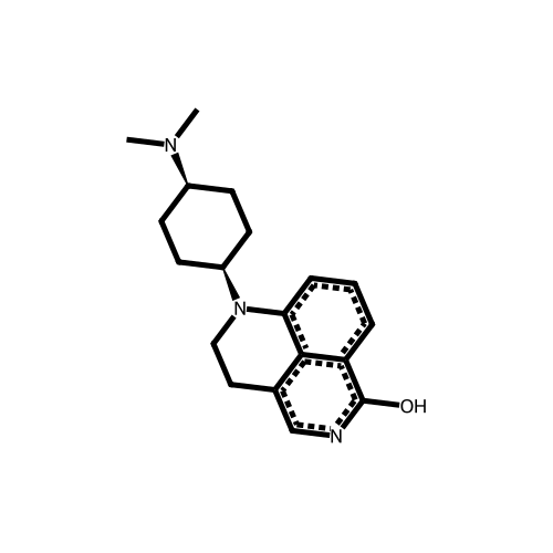 CN(C)[C@H]1CC[C@@H](N2CCc3cnc(O)c4cccc2c34)CC1